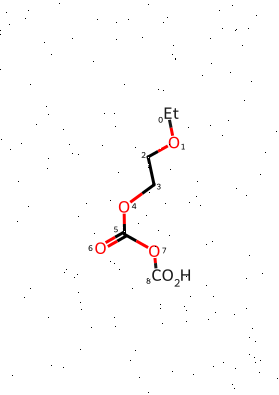 CCOCCOC(=O)OC(=O)O